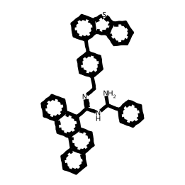 NC(N/C(=N\Cc1ccc(-c2cccc3sc4ccccc4c23)cc1)c1c2ccccc2cc2c1ccc1ccccc12)c1ccccc1